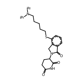 CC(C)N(CCCCCSc1cccc2c1CN(C1CCC(=O)NC1=O)C2=O)C(C)C